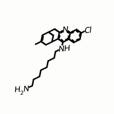 CC1=CC2Cc3nc4cc(Cl)ccc4c(NCCCCCCCCN)c3C(C1)C2